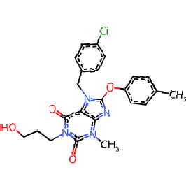 Cc1ccc(Oc2nc3c(c(=O)n(CCCO)c(=O)n3C)n2Cc2ccc(Cl)cc2)cc1